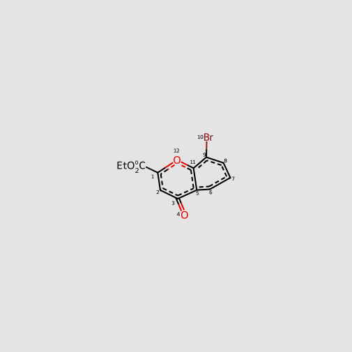 CCOC(=O)c1cc(=O)c2cccc(Br)c2o1